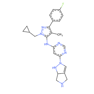 Cc1c(-c2ccc(F)cc2)nn(CC2CC2)c1Nc1cc(N2C=C3CNCC3N2)ncn1